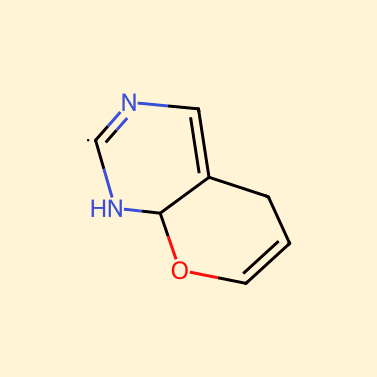 [C]1=NC=C2CC=COC2N1